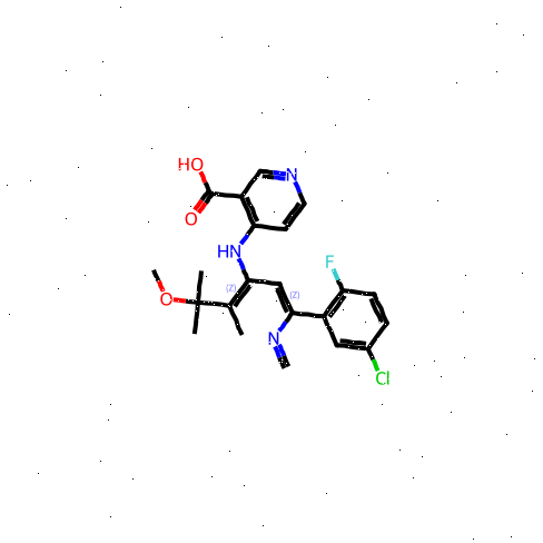 C=N/C(=C\C(Nc1ccncc1C(=O)O)=C(/C)C(C)(C)OC)c1cc(Cl)ccc1F